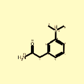 C[SH](C)c1cccc(CC(N)=O)c1